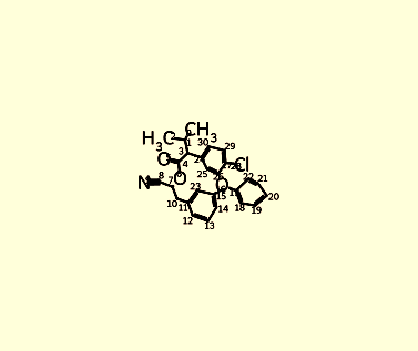 CC(C)C(C(=O)OC(C#N)Cc1cccc(Oc2ccccc2)c1)c1ccc(Cl)cc1